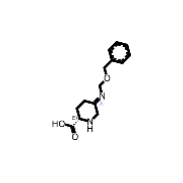 O=C(O)[C@@H]1CC/C(=N\COCc2ccccc2)CN1